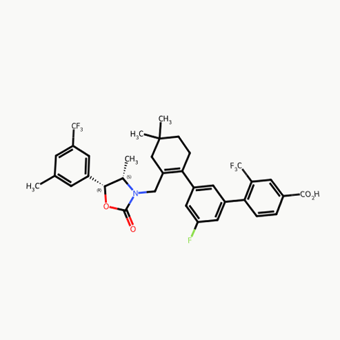 Cc1cc([C@H]2OC(=O)N(CC3=C(c4cc(F)cc(-c5ccc(C(=O)O)cc5C(F)(F)F)c4)CCC(C)(C)C3)[C@H]2C)cc(C(F)(F)F)c1